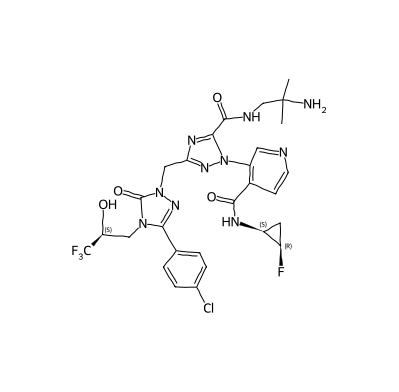 CC(C)(N)CNC(=O)c1nc(Cn2nc(-c3ccc(Cl)cc3)n(C[C@H](O)C(F)(F)F)c2=O)nn1-c1cnccc1C(=O)N[C@H]1C[C@H]1F